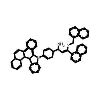 NC(/C=C(\NCc1cccc2ccccc12)c1cccc2ccccc12)C1C=CC(N2C3=c4ccccc4=C4C=CC5C=CC=CC5C4C3c3ccccc32)=CC1